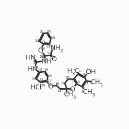 Cc1c(C)c2c(c(C)c1O)CCC(C)(CCOc1ccc(NC(=N)NC(Oc3ccccc3)C(N)=O)cc1)O2.Cl